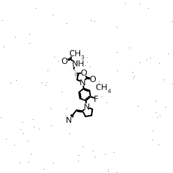 C.CC(=O)NC[C@H]1CN(c2ccc(N3CCCC3=CC#N)c(F)c2)C(=O)O1